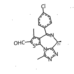 Cc1c(C=O)sc2c1C(c1ccc(Cl)cc1)=N[C@@H](C)c1nnc(C)n1-2